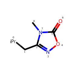 CC(C)Cc1noc(=O)n1C